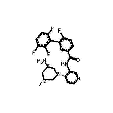 C[C@@H]1C[C@@H](N)C[C@H](c2ccncc2NC(=O)c2ccc(F)c(-c3c(F)ccc(F)c3F)n2)C1